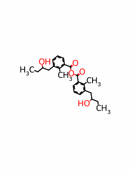 CCC(O)Cc1cccc(C(=O)OC(=O)c2cccc(CC(O)CC)c2C)c1C